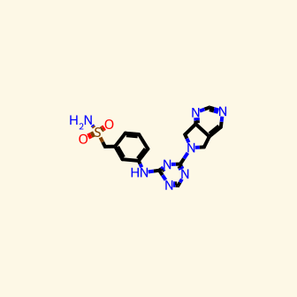 NS(=O)(=O)Cc1cccc(Nc2ncnc(N3Cc4cncnc4C3)n2)c1